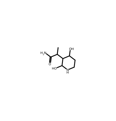 CC(C(N)=O)C1C(O)CCNC1O